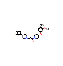 CCOc1cc(OC2CCN(C(=O)CCN3CCC(c4ccc(F)c(F)c4)CC3)CC2)ccc1N=O